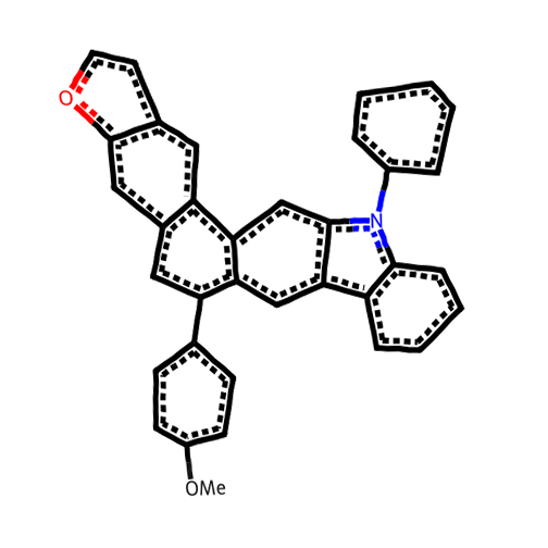 COc1ccc(-c2cc3cc4occc4cc3c3cc4c(cc23)c2ccccc2n4-c2ccccc2)cc1